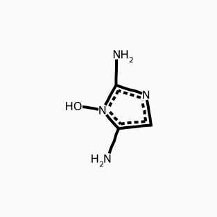 Nc1cnc(N)n1O